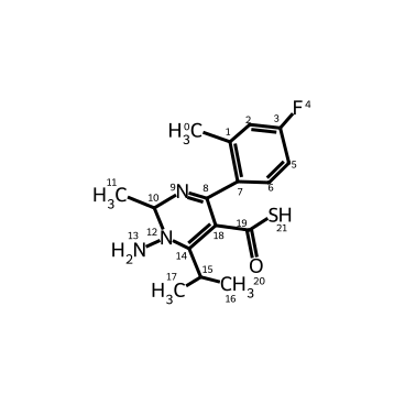 Cc1cc(F)ccc1C1=NC(C)N(N)C(C(C)C)=C1C(=O)S